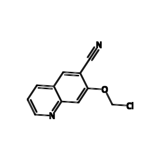 N#Cc1cc2cccnc2cc1OCCl